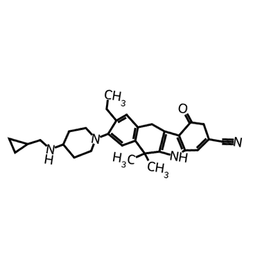 CCc1cc2c(cc1N1CCC(NCC3CC3)CC1)C(C)(C)c1[nH]c3c(c1C2)C(=O)CC(C#N)=C3